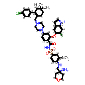 CC1(C)CCC(CN2CCN(c3ccc(C(=O)NS(=O)(=O)c4ccc(NCC5(N)CCOCC5)c([N+](=O)[O-])c4)c(Oc4cc5cc[nH]c5cc4F)c3)CC2)=C(c2ccc(Cl)cc2)C1